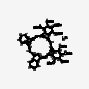 COc1c(OC)c(OC)c2c(c1OC)-c1nc-2nc2[nH]c(nc3nc(nc4[nH]c(n1)c1ccccc41)-c1ccccc1-3)c1c(OC)c(OC)c(OC)c(OC)c21.[LiH]